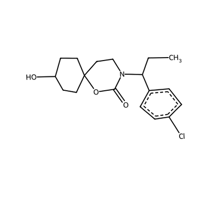 CCC(c1ccc(Cl)cc1)N1CCC2(CCC(O)CC2)OC1=O